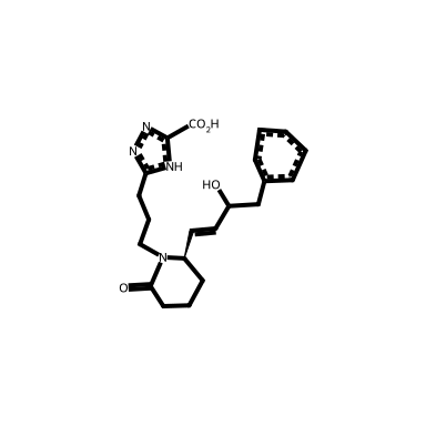 O=C(O)c1nnc(CCCN2C(=O)CCC[C@@H]2C=CC(O)Cc2ccccc2)[nH]1